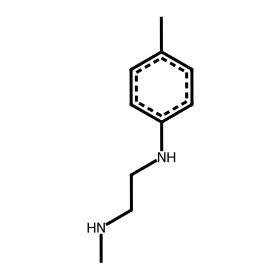 CNCCNc1ccc(C)cc1